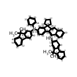 CC1(C)c2ccccc2-c2ccc(Nc3c4c(cc5ccccc35)C3(CCCC3)c3cc(N(c5ccccc5)c5ccc6c(c5)C(C)(C)c5ccccc5-6)ccc3-4)cc21